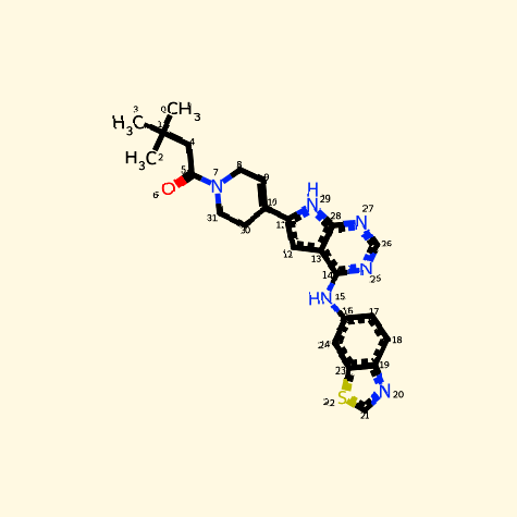 CC(C)(C)CC(=O)N1CC=C(c2cc3c(Nc4ccc5ncsc5c4)ncnc3[nH]2)CC1